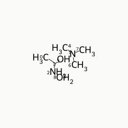 CC(N)O.CN(C)C.O